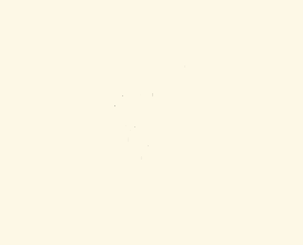 [Al+3].[Cu+2].[In+3].[S-2].[S-2].[S-2].[S-2]